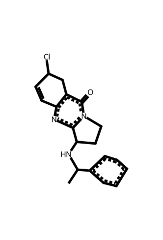 CC(NC1CCn2c1nc1c(c2=O)CC(Cl)C=C1)c1ccccc1